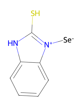 Sc1[nH]c2ccccc2[n+]1[Se-]